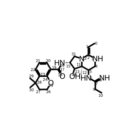 C/C=C1\NCC(NC(=N)CC)[C@@]2(C)C(O)[C@H](NC(=O)c3cccc4c3OCCC4(C)C)CN12